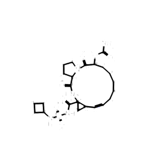 NC(=O)OC1CCCCC/C=C\C2CC2(C(=O)NS(=O)(=O)NC2CCC2)NC(=O)C2CCCN2C1=O